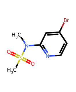 CN(c1cc(Br)ccn1)S(C)(=O)=O